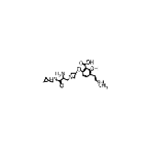 CBCCc1ccc(OC2CN(CC(N)C(=O)NCC3CC3)C2)c(C(=O)O)c1O